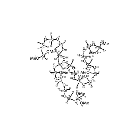 CO[Si](C)(OC)O[Si](C)(C)O[Si](C)(C)O[Si](C)(C)O[Si](C)(O)O[Si](C)(O[Si](C)(C)O[Si](C)(C)O[Si](C)(C)O[Si](C)(OC)O[Si](C)(OC)O[Si](C)(C)O[Si](C)(C)O[Si](C)(C)O[Si](C)(OC)OC)O[Si](C)(OC)O[Si](C)(C)O[Si](C)(C)O[Si](C)(C)O[Si](C)(OC)OC